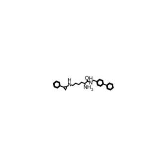 NC(CCCCNC1CC1c1ccccc1)C(=O)NCc1ccc(-c2ccccc2)cc1